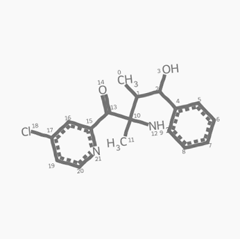 CC(C(O)c1ccccc1)C(C)(N)C(=O)c1cc(Cl)ccn1